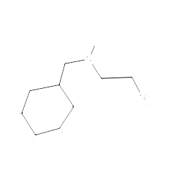 CN(CCN)CC1CCCCC1